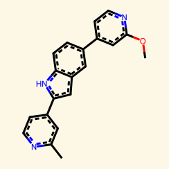 COc1cc(-c2ccc3[nH]c(-c4ccnc(C)c4)cc3c2)ccn1